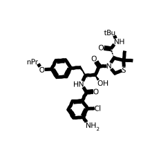 CCCOc1ccc(C[C@H](NC(=O)c2cccc(N)c2Cl)[C@H](O)C(=O)N2CSC(C)(C)[C@H]2C(=O)NC(C)(C)C)cc1